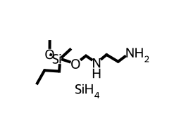 CCC[Si](C)(OC)OCNCCN.[SiH4]